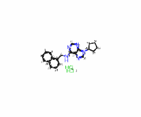 Cl.Cl.c1ccc2c(CNc3ncnc4c3ncn4C3CCCC3)cccc2c1